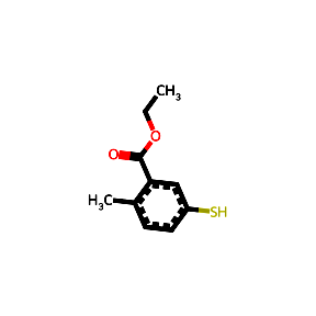 CCOC(=O)c1cc(S)ccc1C